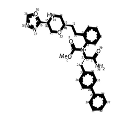 COC(=O)N(c1ccccc1CC[C@@H]1CN[C@H](c2nnco2)CO1)[C@@H](Cc1ccc(-c2ccccc2)cc1)C(N)=O